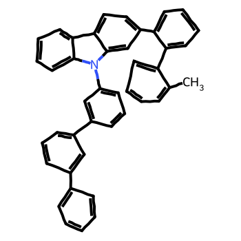 Cc1ccccc1-c1ccccc1-c1ccc2c3ccccc3n(-c3cccc(-c4cccc(-c5ccccc5)c4)c3)c2c1